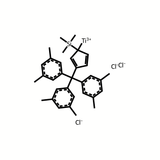 Cc1cc(C)cc(C(C2=C[C]([Ti+3])([Si](C)(C)C)C=C2)(c2cc(C)cc(C)c2)c2cc(C)cc(C)c2)c1.[Cl-].[Cl-].[Cl-]